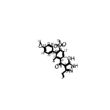 CCc1n[nH]c(O)c1C(=O)c1ccc(S(C)(=O)=O)c(-c2ccc(OC)cc2)c1C